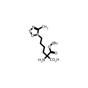 CC1=NSON1CCCCC(N)(C(=O)O)C(=O)OC(C)(C)C